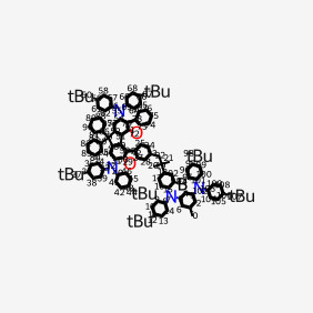 Cc1cc2c3c(c1)N(c1ccc(C(C)(C)C)cc1)c1ccc(C(C)(C)Cc4ccc5c(c4)oc4c(N(c6ccc(C(C)(C)C)cc6)c6ccc(C(C)(C)C)cc6)cc6c(c45)-c4c(cc(N(c5ccc(C(C)(C)C)cc5)c5ccc(C(C)(C)C)cc5)c5c4oc4ccccc45)C6(c4ccccc4)c4ccccc4)cc1B3c1cc(C(C)(C)C)ccc1N2c1ccc(C(C)(C)C)cc1